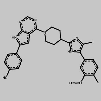 CCOc1cc(-c2[nH]c(C3CCN(c4ncnc5[nH]c(-c6ccc(C#N)cc6)cc45)CC3)nc2C)ccc1C